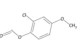 COc1ccc(O[C]=O)c(Cl)c1